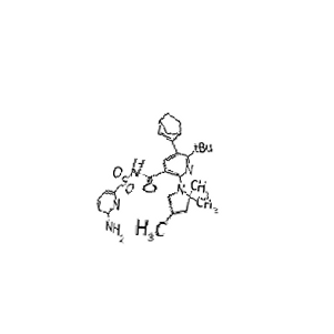 CC1CN(c2nc(C(C)(C)C)c(C3=CC4CCC3C4)cc2C(=O)NS(=O)(=O)c2cccc(N)n2)C(C)(C)C1